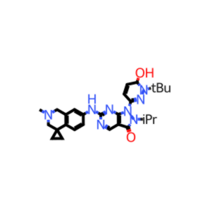 CC(C)n1c(=O)c2cnc(Nc3ccc4c(c3)CN(C)CC43CC3)nc2n1C1=NN(C(C)(C)C)C(O)C=C1